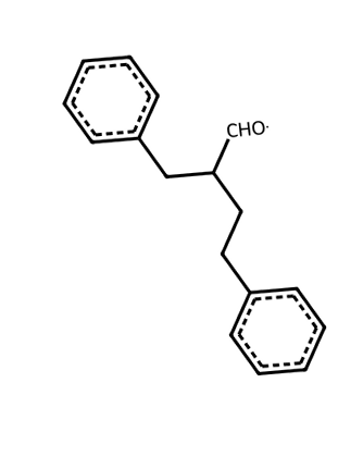 O=[C]C(CCc1ccccc1)Cc1ccccc1